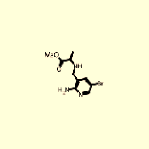 COC(=O)C(C)NCc1cc(Br)cnc1N